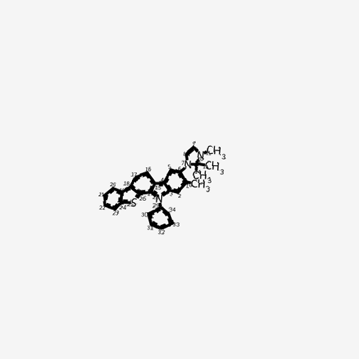 Cc1cc2c(cc1N1C=CN(C)C1(C)C)c1ccc3c4ccccc4sc3c1n2-c1ccccc1